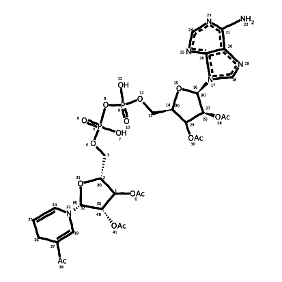 CC(=O)OC1[C@@H](COP(=O)(O)OP(=O)(O)OC[C@H]2O[C@@H](n3cnc4c(N)ncnc43)[C@@H](OC(C)=O)C2OC(C)=O)O[C@@H](N2C=CCC(C(C)=O)=C2)[C@H]1OC(C)=O